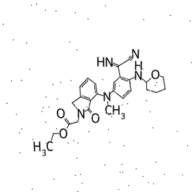 CCOC(=O)CN1Cc2cccc(N(C)c3ccc(NC4CCCCO4)c(C(=N)C#N)c3)c2C1=O